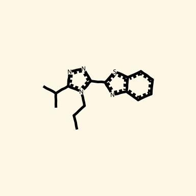 CCCn1c(-c2nc3ccccc3s2)nnc1C(C)C